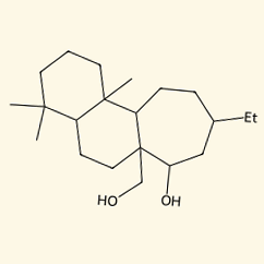 CCC1CCC2C3(C)CCCC(C)(C)C3CCC2(CO)C(O)C1